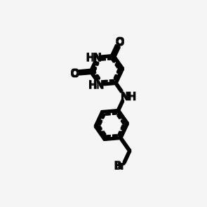 O=c1cc(Nc2cccc(CBr)c2)[nH]c(=O)[nH]1